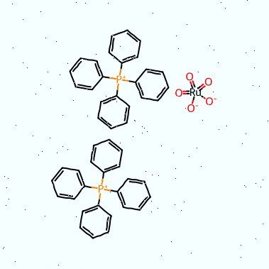 [O]=[Ru](=[O])(=[O])([O-])[O-].c1ccc([P+](c2ccccc2)(c2ccccc2)c2ccccc2)cc1.c1ccc([P+](c2ccccc2)(c2ccccc2)c2ccccc2)cc1